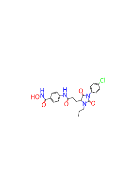 CCCN1C(=O)N(c2ccc(Cl)cc2)C(=O)C1CCC(=O)Nc1ccc(C(=O)NO)cc1